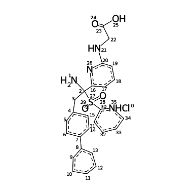 Cl.NC(Cc1ccc(-c2ccccc2)cc1)(c1cccc(NCC(=O)O)n1)S(=O)(=O)c1ccccn1